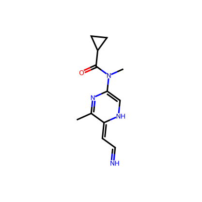 CC1=NC(N(C)C(=O)C2CC2)=CN/C1=C\C=N